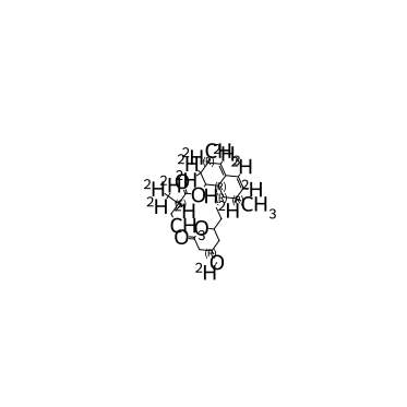 [2H]O[C@H]1CC(=O)OC(CC[C@@H]2[C@@H]3C(=C([2H])[C@]([2H])(C)C([2H])([2H])C3OC(=O)[C@]([2H])(CC)C([2H])([2H])[2H])C([2H])=C([2H])[C@]2([2H])C)C1